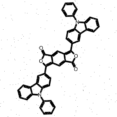 O=C1OC(c2ccc3c(c2)c2ccccc2n3-c2ccccc2)=c2cc3c(cc21)=C(c1ccc2c(c1)c1ccccc1n2-c1ccccc1)OC3=O